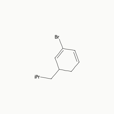 CC(C)CC1C=C(Br)C=CC1